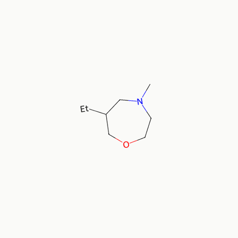 CCC1COCCN(C)C1